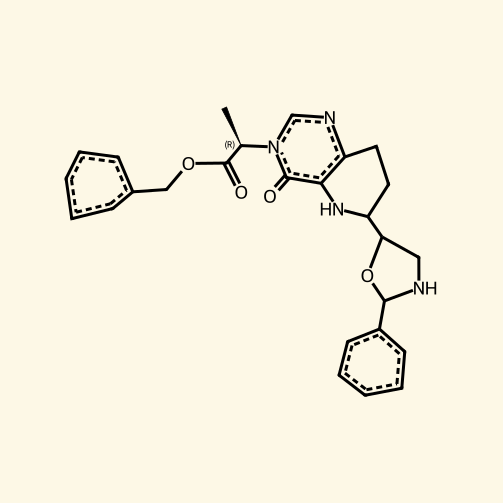 C[C@H](C(=O)OCc1ccccc1)n1cnc2c(c1=O)NC(C1CNC(c3ccccc3)O1)CC2